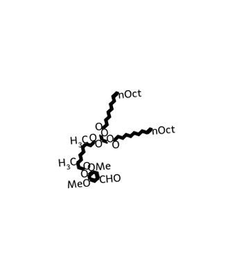 CCCCCCCCC=CCCCCCCCC(=O)OCC(COC(=O)CCCCCCC/C=C\CCCCCCCC)OC(=O)CC(C)CCCCC(C)CC(=O)Oc1c(OC)cc(C=O)cc1OC